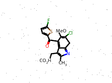 COC1=C(Cl)CC2=NC(C)=C(CC(=O)O)C2=C1C(=O)c1ccc(F)s1